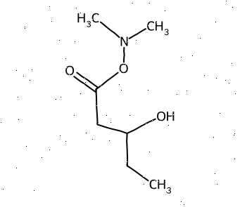 CCC(O)CC(=O)ON(C)C